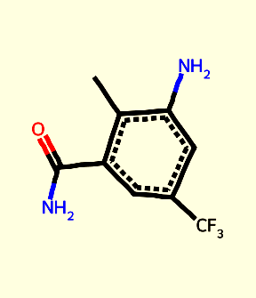 Cc1c(N)cc(C(F)(F)F)cc1C(N)=O